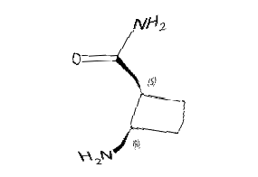 NC(=O)[C@H]1CC[C@H]1N